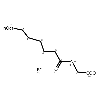 CCCCCCCCCCCCCC(=O)NCC(=O)[O-].[K+]